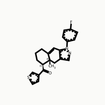 C[C@]12Cc3cnn(-c4ccc(F)cc4)c3C=C1CCC[C@@H]2C(=O)c1ccsc1